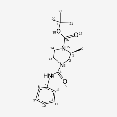 C[C@H]1CN(C(=O)Nc2ccccc2)CCN1C(=O)OC(C)(C)C